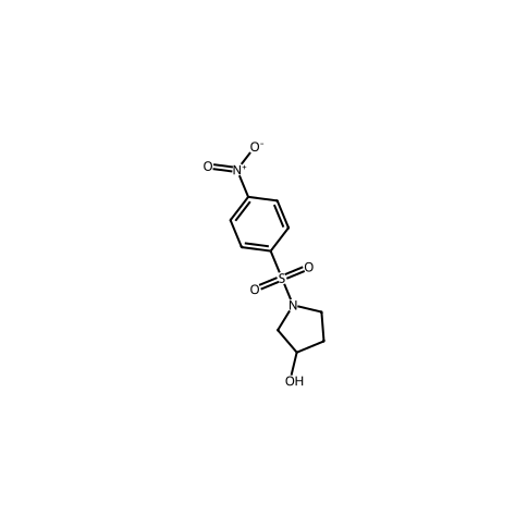 O=[N+]([O-])c1ccc(S(=O)(=O)N2CCC(O)C2)cc1